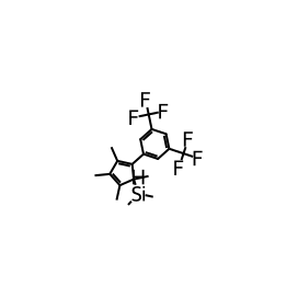 CC1=C(C)C(C)([SiH](C)C)C(c2cc(C(F)(F)F)cc(C(F)(F)F)c2)=C1C